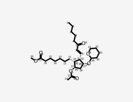 CCCCCC(=O)C=C[C@H]1[C@@H](CCCCCCC(=O)OC)[C@H](OC(C)=O)C[C@H]1OC1CCCCO1